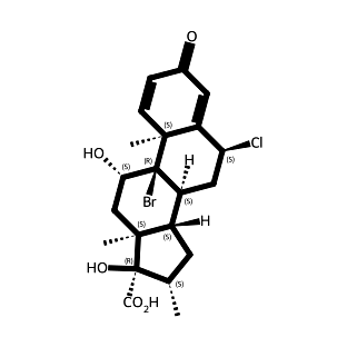 C[C@H]1C[C@H]2[C@@H]3C[C@H](Cl)C4=CC(=O)C=C[C@]4(C)[C@@]3(Br)[C@@H](O)C[C@]2(C)[C@@]1(O)C(=O)O